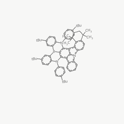 CC(C)(C)c1ccc(N2c3ccc(C(C)(C)C)cc3B3c4cc(C(C)(C)C)ccc4N(c4ccc(C(C)(C)C)cc4)c4c3c2c2c3ccccc3n3c5ccc6c(c5c4c23)C(C)(C)CCC6(C)C)cc1